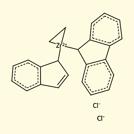 C1=C[CH]([Zr+2]2([CH]3c4ccccc4-c4ccccc43)[CH2][CH2]2)c2ccccc21.[Cl-].[Cl-]